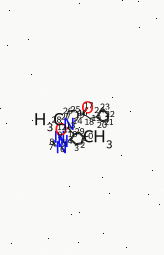 Cc1ccc(-n2nccn2)c(C(=O)N2C[C@H](C(=O)Cc3ccccc3)CC[C@H]2C)c1